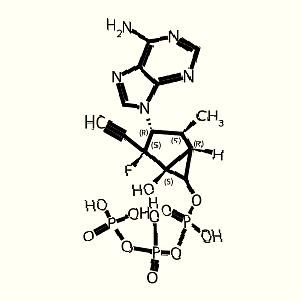 C#C[C@]1(F)[C@H](n2cnc3c(N)ncnc32)[C@@H](C)[C@@H]2C(OP(=O)(O)OP(=O)(O)OP(=O)(O)O)[C@@]21O